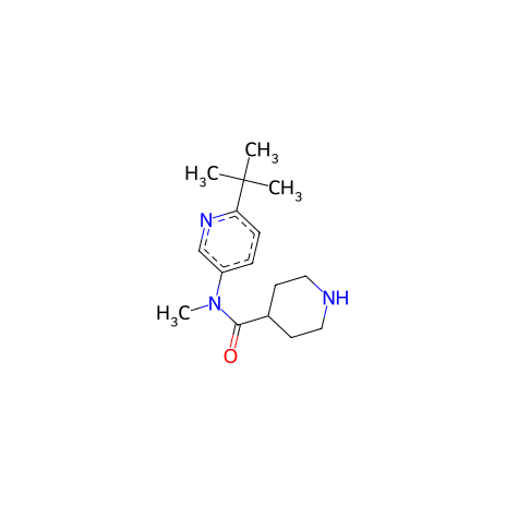 CN(C(=O)C1CCNCC1)c1ccc(C(C)(C)C)nc1